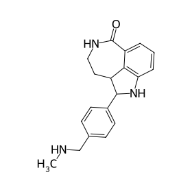 CNCc1ccc(C2Nc3cccc4c3C2CCNC4=O)cc1